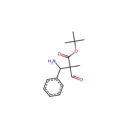 CC(C)(C)OC(=O)C(C)(C=O)C(N)c1ccccc1